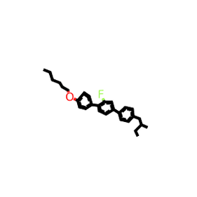 CCCCCCOc1ccc(-c2ccc(-c3ccc(CC(C)CC)cc3)cc2F)cc1